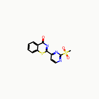 CS(=O)(=O)c1nccc(-c2nc(=O)c3ccccc3s2)n1